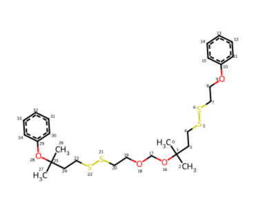 CC(C)(CCSSCCOc1ccccc1)OCOCCSSCCC(C)(C)Oc1ccccc1